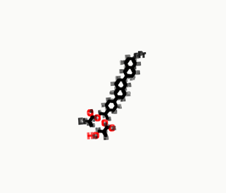 C=C(CC)C(=O)OCC(COC(=O)C(=C)CO)C1CCC(c2ccc3cc(-c4ccc5cc(CCC)ccc5c4)ccc3c2)CC1